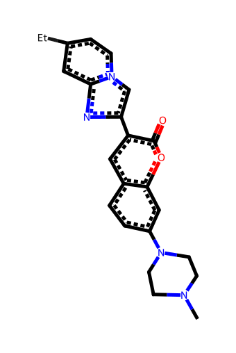 CCc1ccn2cc(-c3cc4ccc(N5CCN(C)CC5)cc4oc3=O)nc2c1